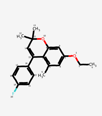 CCOc1cc(C)c2c(c1)OC(C)(C)C=C2c1ccc(F)cc1